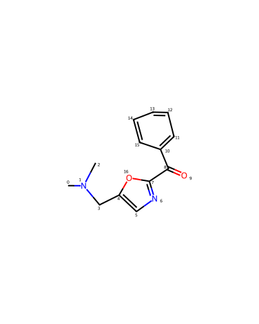 CN(C)Cc1cnc(C(=O)c2ccccc2)o1